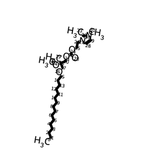 CCCCCCCCCCCCCCCCOCC(C)(COC(=O)OCCN1C=CN(C)C1C)OC